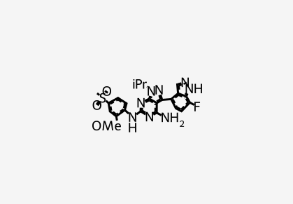 COc1cc(S(C)(=O)=O)ccc1Nc1nc(N)c2c(-c3ccc(F)c4[nH]ncc34)nn(C(C)C)c2n1